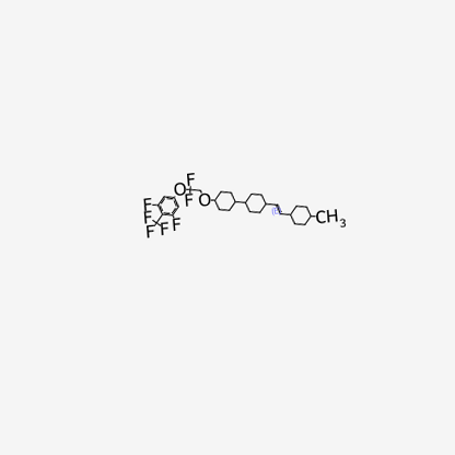 CC1CCC(/C=C/C2CCC(C3CCC(OCC(F)(F)Oc4cc(F)c(C(F)(F)F)c(F)c4)CC3)CC2)CC1